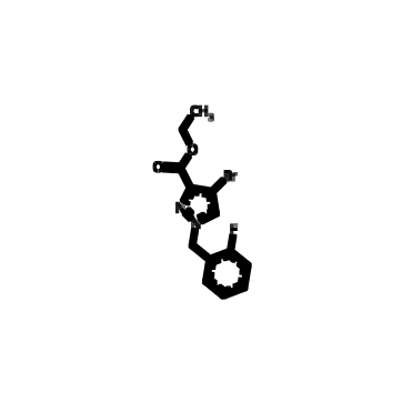 CCOC(=O)c1nn(Cc2ccccc2F)cc1Br